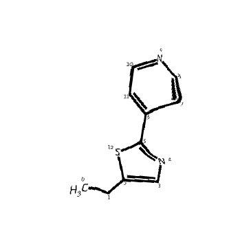 CCc1cnc(-c2ccncc2)s1